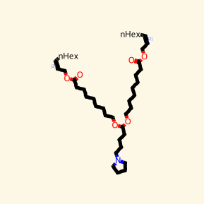 CCCCCC/C=C\COC(=O)CCCCCCCCOC(CCCCN1CCCC1)OCCCCCCCCC(=O)OC/C=C\CCCCCC